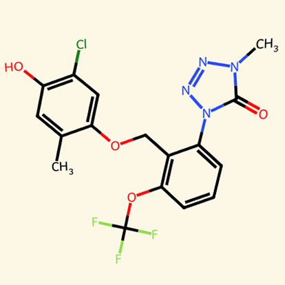 Cc1cc(O)c(Cl)cc1OCc1c(OC(F)(F)F)cccc1-n1nnn(C)c1=O